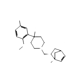 COc1ccc(F)cc1C1(F)CCN(C[C@H]2C[C@H]3C=C[C@H]2C3)CC1